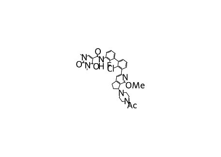 COc1nc(-c2cccc(-c3cccc(NC(=O)c4cn(C)c(=O)n(C)c4=O)c3F)c2Cl)cc2c1C(N1CCN(C(C)=O)CC1)CC2